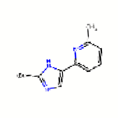 Cc1cccc(-c2cnc(C(C)(C)C)[nH]2)n1